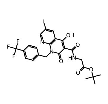 CC(C)(C)OC(=O)CNC(=O)c1c(O)c2cc(I)cnc2n(Cc2ccc(C(F)(F)F)cc2)c1=O